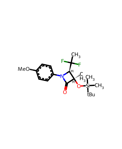 COc1ccc(N2C(=O)[C@](C)(O[Si](C)(C)C(C)(C)C)[C@@H]2C(C)(F)F)cc1